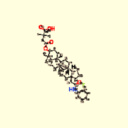 CC(C)(CC(=O)O[C@H]1CC[C@@]2(C)C(CC[C@]3(C)C2CC[C@@H]2[C@H]4CCC[C@]4(CC(=O)Nc4ccccc4F)CC[C@]23C)C1(C)C)C(=O)O